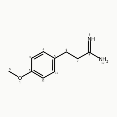 COc1ccc(CCC(=N)N)cc1